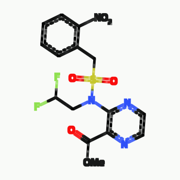 COC(=O)c1nccnc1N(CC(F)F)S(=O)(=O)Cc1ccccc1[N+](=O)[O-]